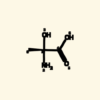 C[C@@](N)(O)C(=O)O